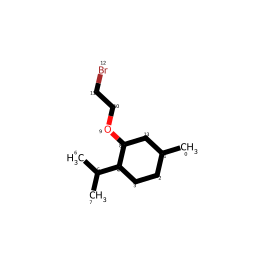 CC1CCC(C(C)C)C(OCCBr)C1